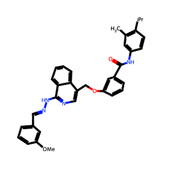 COc1cccc(C=NNc2ncc(COc3cccc(C(=O)Nc4ccc(C(C)C)c(C)c4)c3)c3ccccc23)c1